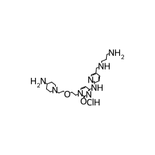 Cl.NCCCNCc1ccc(Nc2ccn(CCOCCN3CCC(N)CC3)c(=O)n2)nc1